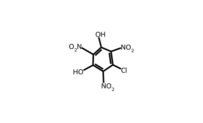 O=[N+]([O-])c1c(O)c([N+](=O)[O-])c(Cl)c([N+](=O)[O-])c1O